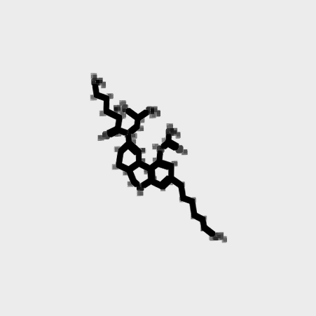 CCCCCCCc1cc2c(c(OC(C)=O)c1)C1C=C(N(CC(C)C)C(=O)CCCCC)CCC1CO2